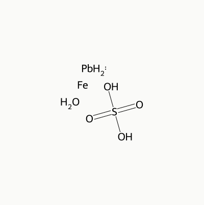 O.O=S(=O)(O)O.[Fe].[PbH2]